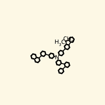 CC1(C)c2ccccc2-c2ccc(-c3ccc(N(c4ccc(-c5cccc(-c6cccc7ccccc67)c5)cc4)c4cccc(-c5ccccc5-c5ccccc5)c4)cc3)cc21